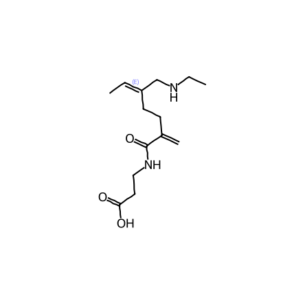 C=C(CC/C(=C\C)CNCC)C(=O)NCCC(=O)O